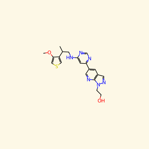 COc1cscc1C(C)CNc1cc(-c2cnc3c(cnn3CCO)c2)ncn1